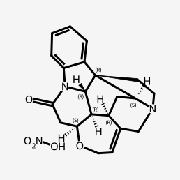 O=C1C[C@@H]2OCC=C3CN4CC[C@]56c7ccccc7N1[C@H]5[C@H]2[C@H]3C[C@H]46.O=[N+]([O-])O